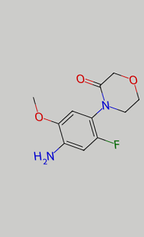 COc1cc(N2CCOCC2=O)c(F)cc1N